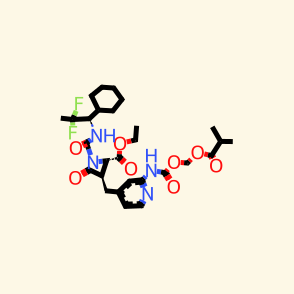 CCOC(=O)[C@@H]1[C@@H](Cc2ccnc(NC(=O)OCOC(=O)C(C)C)c2)C(=O)N1C(=O)N[C@@H](C1CCCCC1)C(C)(F)F